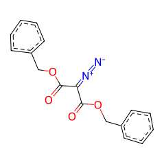 [N-]=[N+]=C(C(=O)OCc1ccccc1)C(=O)OCc1ccccc1